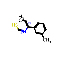 C/C=C(\N=C/S)c1cccc(C)c1